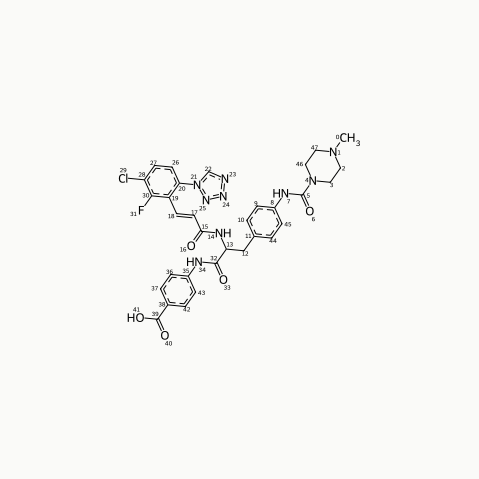 CN1CCN(C(=O)Nc2ccc(CC(NC(=O)/C=C/c3c(-n4cnnn4)ccc(Cl)c3F)C(=O)Nc3ccc(C(=O)O)cc3)cc2)CC1